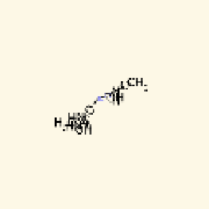 CCOCCNC/C(O)=C/C=C/C#Cc1ccc(C(=O)NC(CC)C(=O)NO)cc1